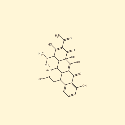 CCCOCC1c2cccc(O)c2C(=O)C2=C(O)C3(O)C(=O)C(C(N)=O)=C(O)C(N(C)C)C3C(OC(C)=O)C21